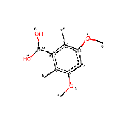 COc1cc(OC)c(C)c(B(O)O)c1C